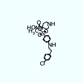 CC(C1(C(=O)NO)CCNCC1)S(=O)(=O)c1ccc(NCCc2ccc(Cl)cc2)cc1